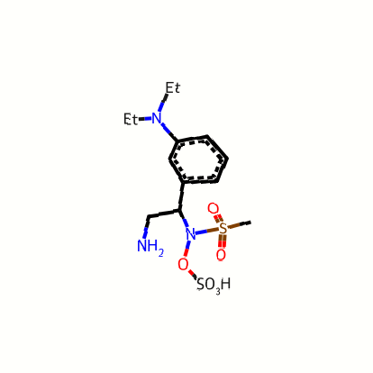 CCN(CC)c1cccc(C(CN)N(OS(=O)(=O)O)S(C)(=O)=O)c1